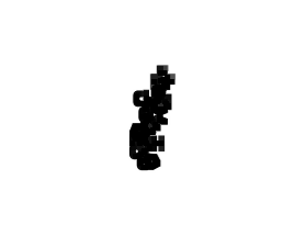 CC(c1cnc(OCC(F)(F)F)c(Cl)c1)N1Cc2c(ccnc2NC(=O)[C@H]2CCCO2)C1=O